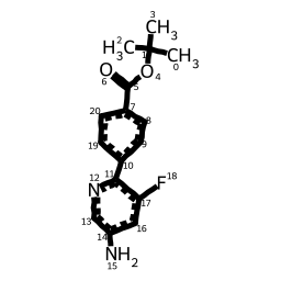 CC(C)(C)OC(=O)c1ccc(-c2ncc(N)cc2F)cc1